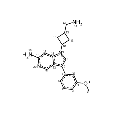 COc1cccc(-c2cn(C3CC(CN)C3)c3cc(N)ncc23)c1